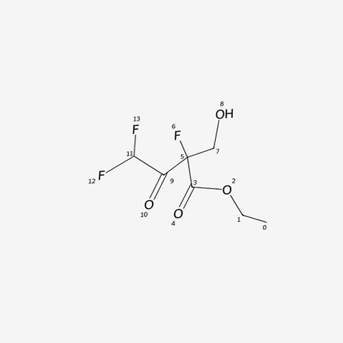 CCOC(=O)C(F)(CO)C(=O)C(F)F